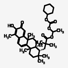 CC[C@@]12CC[C@@]3(C)C4=CC(=O)C(O)=C(C)C4=CC=C3[C@@]1(C)CCC(C)(C)[C@H]2CC(C)(C)C(=O)OC(C)OC(=O)OC1CCCCC1